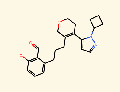 O=Cc1c(O)cccc1CCCC1=C(c2ccnn2C2CCC2)CCOC1